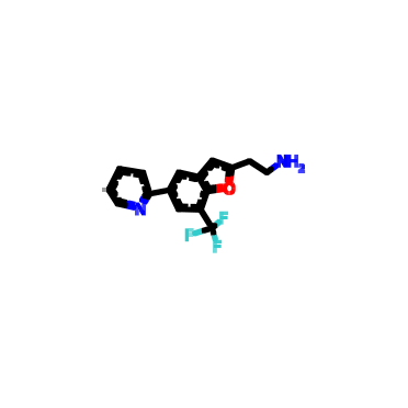 NCCc1cc2cc(-c3cc[c]cn3)cc(C(F)(F)F)c2o1